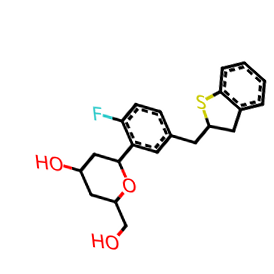 OCC1CC(O)CC(c2cc(CC3Cc4ccccc4S3)ccc2F)O1